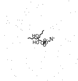 CCCCCC(O)(CCCCC)[C@@H](O)COP(=O)([O-])OCC[N+](C)(C)C